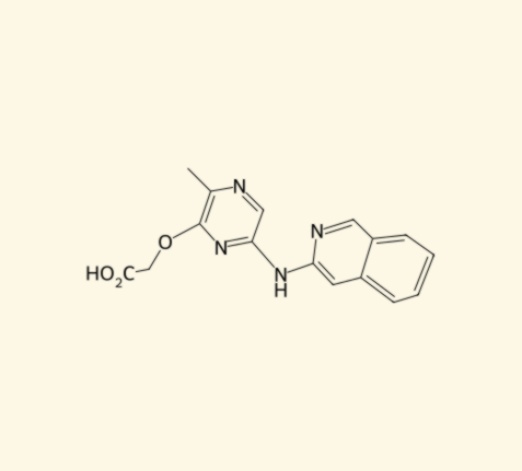 Cc1ncc(Nc2cc3ccccc3cn2)nc1OCC(=O)O